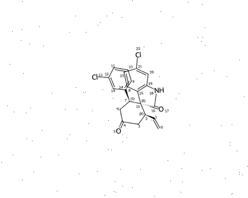 C=C[C@H]1CC(=O)C[C@@H](c2cccc(Cl)c2)[C@]12C(=O)Nc1cc(Cl)ccc12